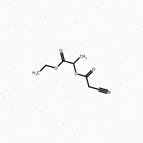 CCOC(=O)C(C)OC(=O)CC#N